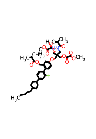 C=C(C)C(=O)NCC(COC(=O)C(=O)OC)(COC(=O)C(=O)OC)COc1ccc(-c2ccc(C3CCC(CCCCC)CC3)cc2F)c(COC(=O)C(=C)C)c1